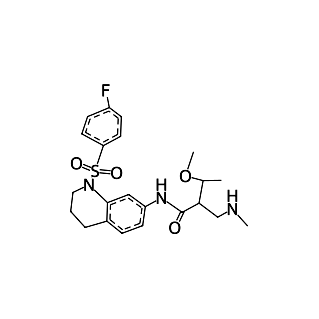 CNCC(C(=O)Nc1ccc2c(c1)N(S(=O)(=O)c1ccc(F)cc1)CCC2)C(C)OC